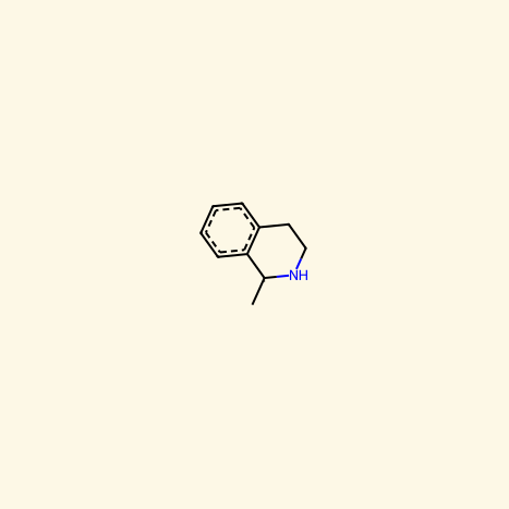 C[C]1NCCc2ccccc21